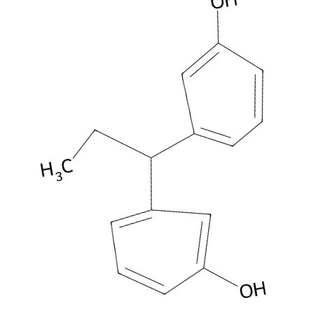 CCC(c1cccc(O)c1)c1cccc(O)c1